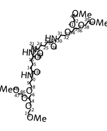 COCCOCC(COCCCNC(=O)CCCC(=O)NN(C)C(=O)CCCC(=O)NCCCOCC(COCCOC)OCCOC)OCCOC